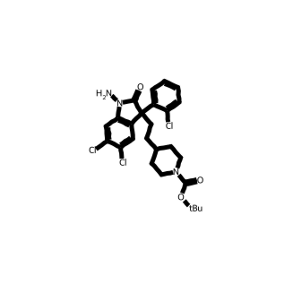 CC(C)(C)OC(=O)N1CCC(CCC2(c3ccccc3Cl)C(=O)N(N)c3cc(Cl)c(Cl)cc32)CC1